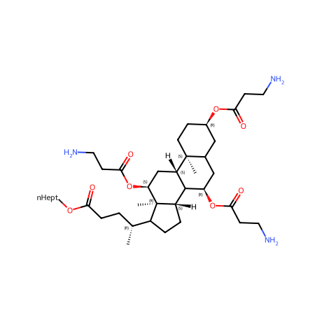 CCCCCCCOC(=O)CC[C@@H](C)C1CC[C@H]2C3[C@H](OC(=O)CCN)CC4C[C@H](OC(=O)CCN)CC[C@]4(C)[C@H]3C[C@H](OC(=O)CCN)[C@]12C